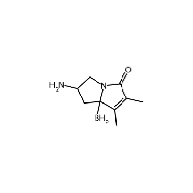 BC12CC(N)CN1C(=O)C(C)=C2C